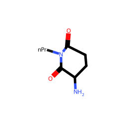 CCCN1C(=O)CCC(N)C1=O